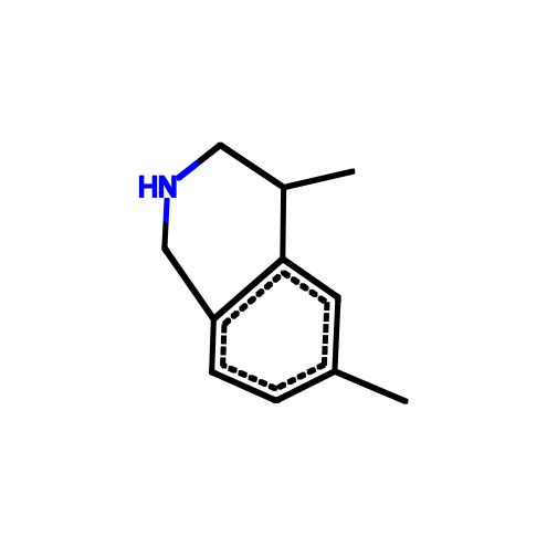 Cc1ccc2c(c1)C(C)CNC2